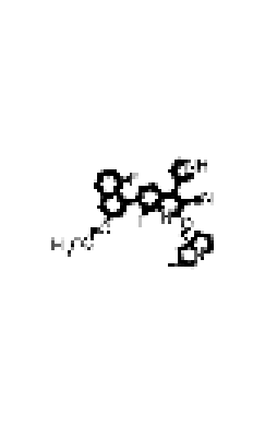 COCOc1cc(-c2ccc3c(-c4cc[nH]c4)c(C#N)c(OC[C@@]45CCCN4C[C@H](F)C5)nc3c2F)c2c(F)cccc2c1